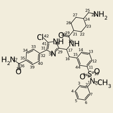 CN(c1ccccc1)S(=O)(=O)c1cccc(CC(NC(=O)C2CCC(CN)CC2)c2nc(-c3ccc(C(N)=O)cc3)c(Cl)[nH]2)c1